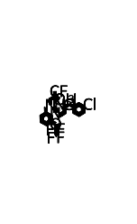 OC(CN(Cc1cccc(OC(F)(F)C(F)F)c1)c1nccc(Oc2cccc(Cl)c2)n1)C(F)(F)F